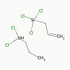 C=CC[Si](Cl)(Cl)Cl.CCC[SiH](Cl)Cl